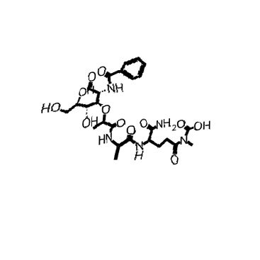 CC(NC(=O)C(C)O[C@@H]([C@H](O)[C@H](O)CO)[C@H](C=O)NC(=O)c1ccccc1)C(=O)NC(CCC(=O)N(C)C(=O)O)C(N)=O